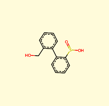 O=S(O)c1ccccc1-c1ccccc1CO